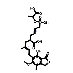 COc1c(C)c2c(c(O)c1C/C=C(\C)CC(C/C=C/CP(=O)(O)OC(C)C(=O)O)C(=O)O)C(=O)OC2